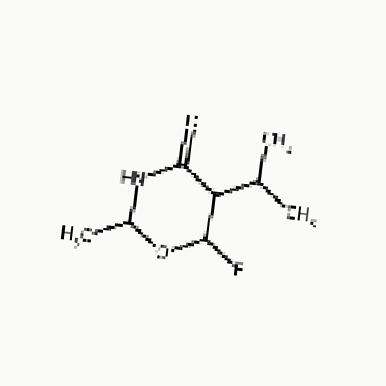 CC1NC(=O)C(C(C)C)C(F)O1